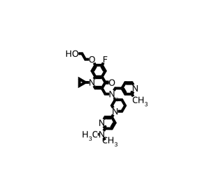 Cc1cc(CN(Cc2cn(C3CC3)c3cc(OCCO)c(F)cc3c2=O)[C@H]2CCCN(c3ccc(N(C)C)nc3)C2)ccn1